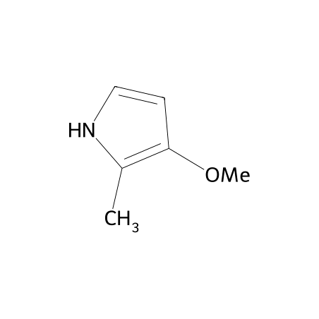 COc1cc[nH]c1C